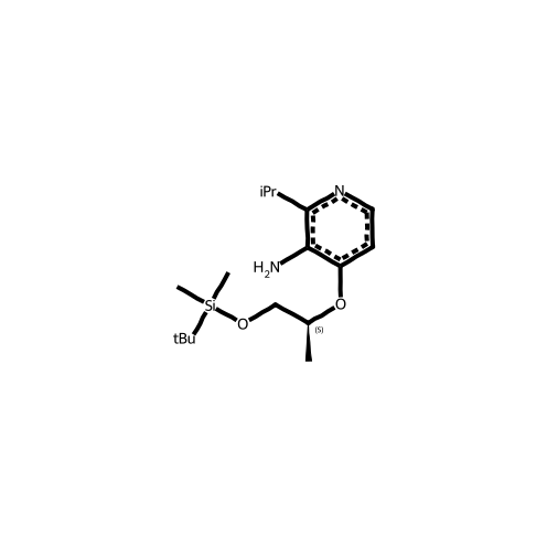 CC(C)c1nccc(O[C@@H](C)CO[Si](C)(C)C(C)(C)C)c1N